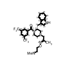 CNCCON=C(C)CN1CCN(C(=O)c2cc(C(F)(F)F)cc(C(F)(F)F)c2)[C@H](Cc2c[nH]c3ccccc23)C1